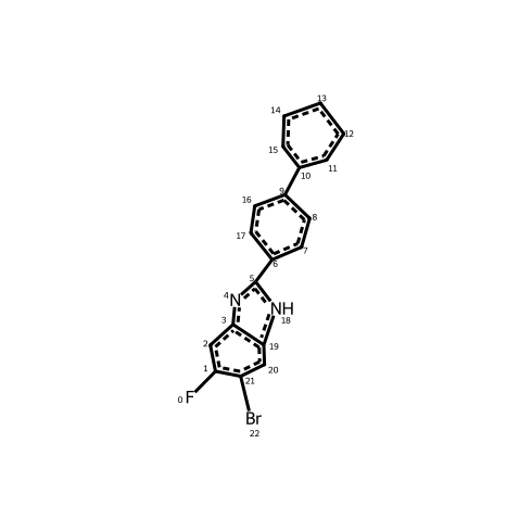 Fc1cc2nc(-c3ccc(-c4ccccc4)cc3)[nH]c2cc1Br